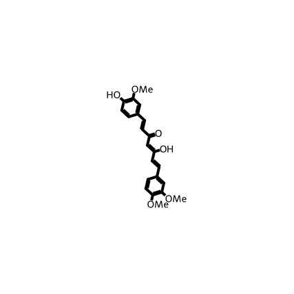 COc1cc(/C=C/C(=O)/C=C(O)/C=C/c2ccc(OC)c(OC)c2)ccc1O